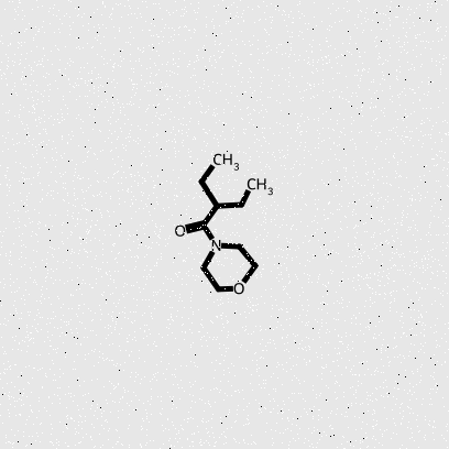 CCC(CC)C(=O)N1CCOCC1